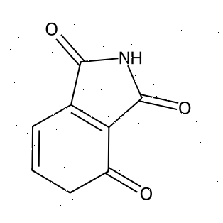 O=C1CC=CC2=C1C(=O)NC2=O